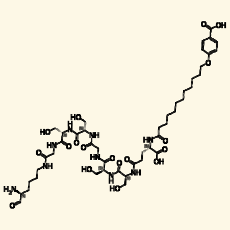 N[C@H](C=O)CCCCNC(=O)CNC(=O)[C@H](CO)NC(=O)[C@H](CO)NC(=O)CNC(=O)[C@H](CO)NC(=O)[C@H](CO)NC(=O)CC[C@H](NC(=O)CCCCCCCCCCCOc1ccc(C(=O)O)cc1)C(=O)O